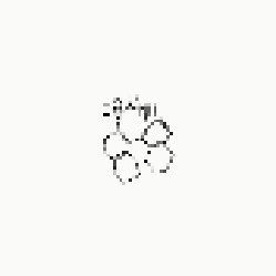 O=P1(O)Nc2ccc3c(c2-c2c(ccc4c2CCCC4)N1)CCCC3